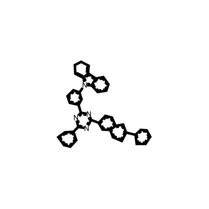 C1=c2c(n(-c3cccc(-c4nc(-c5ccccc5)nc(-c5ccc6cc(-c7ccccc7)ccc6c5)n4)c3)c3ccccc23)=CCC1